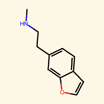 CNCCc1ccc2ccoc2c1